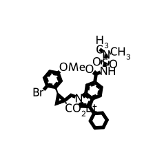 CCOC(=O)[C@]1(Cn2cc(C3CCCCC3)c3ccc(C(=O)NS(=O)(=O)N(C)C)cc32)C[C@H]1c1cc(OC)ccc1Br